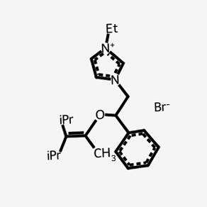 CC[n+]1ccn(CC(OC(C)=C(C(C)C)C(C)C)c2ccccc2)c1.[Br-]